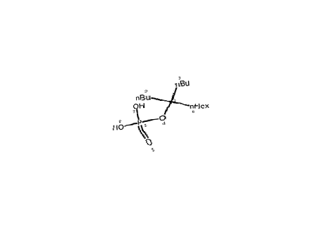 CCCCCCC(CCCC)(CCCC)OP(=O)(O)O